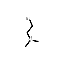 CCC[CH2][SnH]([CH3])[CH3]